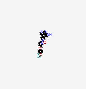 O=C(N1CCC(c2ccnc3cnc4[nH]ccc4c23)CC1)N1CCCC(COc2ccc(OC(F)(F)F)cc2)C1